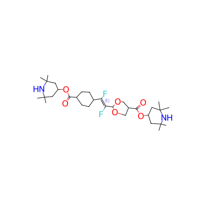 CC1(C)CC(OC(=O)C2CCC(/C(F)=C(\F)C3OCC(C(=O)OC4CC(C)(C)NC(C)(C)C4)CO3)CC2)CC(C)(C)N1